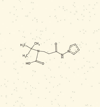 CC(C)(C)N(CCC(=O)Nn1cccc1)C(=O)O